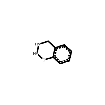 c1ccc2c(c1)CNPO2